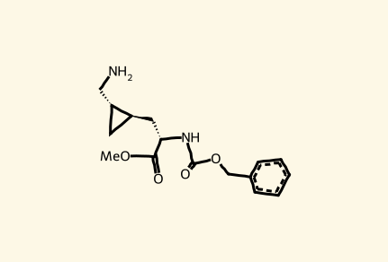 COC(=O)[C@H](C[C@H]1C[C@@H]1CN)NC(=O)OCc1ccccc1